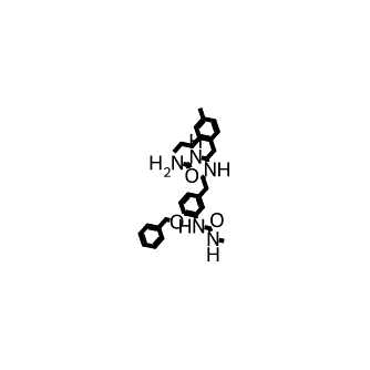 CCCc1cc(C)ccc1CC(NCCc1ccc(OCc2ccccc2)c(NC(=O)NC)c1)NC(N)=O